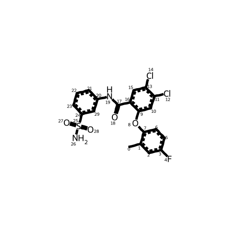 Cc1cc(F)ccc1Oc1cc(Cl)c(Cl)cc1C(=O)Nc1cccc(S(N)(=O)=O)c1